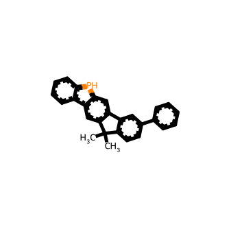 CC1(C)c2ccc(-c3ccccc3)cc2-c2cc3[pH]c4ccccc4c3cc21